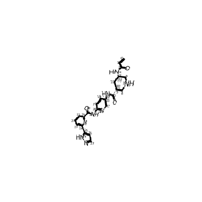 C=CC(=O)N[C@@H]1CNC[C@H](C(=O)Nc2ccc(NC(=O)c3cccc(-c4ccn[nH]4)n3)nc2)C1